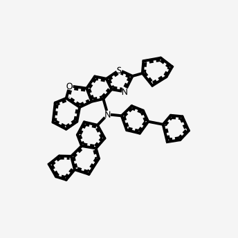 c1ccc(-c2ccc(N(c3ccc4c(ccc5ccccc54)c3)c3c4nc(-c5ccccc5)sc4cc4oc5ccccc5c34)cc2)cc1